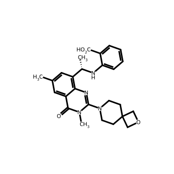 Cc1cc([C@H](C)Nc2ccccc2C(=O)O)c2nc(N3CCC4(CC3)COC4)n(C)c(=O)c2c1